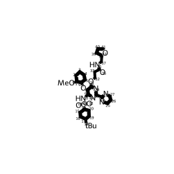 COc1ccccc1Oc1c(NS(=O)(=O)c2ccc(C(C)(C)C)cc2)nc(-c2ncccn2)nc1OCCC(=O)NCc1ccco1